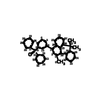 Cc1cc(-c2cccc(P(=O)(c3ccccc3)c3ccccc3)c2)c2cccc3c2c1-c1ccccc1C3(C)C